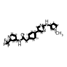 Cn1ccc(Nc2ncc(-c3ccc(CC(=O)Nc4ccnc(C(F)(F)F)c4)cc3)cn2)c1